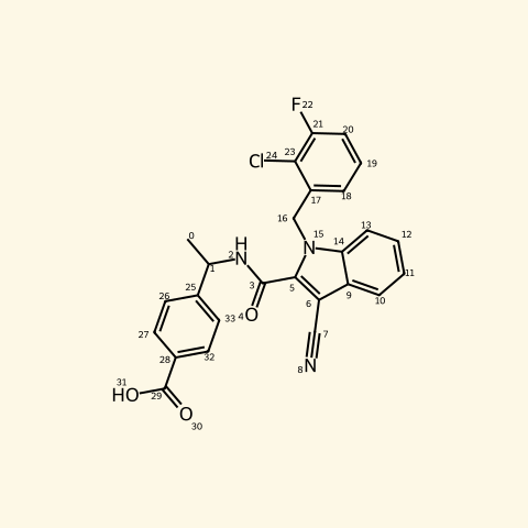 CC(NC(=O)c1c(C#N)c2ccccc2n1Cc1cccc(F)c1Cl)c1ccc(C(=O)O)cc1